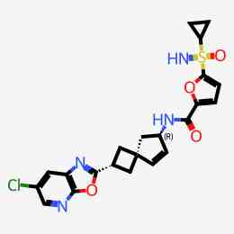 N=S(=O)(c1ccc(C(=O)N[C@H]2C=C[C@]3(C2)C[C@@H](c2nc4cc(Cl)cnc4o2)C3)o1)C1CC1